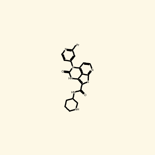 CC(C)c1cc(N2C(=O)Nc3c(C(=O)NC4CCCNC4)sc4nccc2c34)ccn1